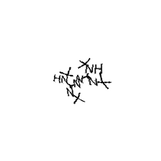 CC(C)(C)N=C(N=NC(=NC(C)(C)C)NC(C)(C)C)NC(C)(C)C